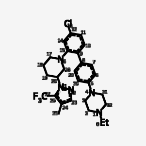 CCN1CCN(c2ccc(-c3ccc(Cl)cc3N3CCCC(n4ncc(C)c4C(F)(F)F)C3)cc2)CC1